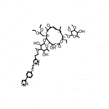 CCOC(C[C@H]1C[C@@H](C)C(=O)/C=C/C(C)=C/[C@H](COC2OC(C)C(O)C(OC)C2OC)[C@@H](CC)OC(=O)C[C@@H](O)[C@H](C)[C@H]1OC1OC(C)C(O)C(N(C)CCc2cn(CCc3ccc(-c4csnn4)cc3)nn2)C1O)OCC